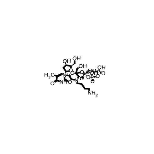 CC1=C[N+](C2CN(CCCCN)CC(CO)(OP(=O)(O)OP(=O)(O)OP(=O)(O)O)O2)([C@H]2C[C@H](O)[C@@H](CO)O2)C(=O)NC1=O